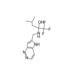 CC(C)CC(O)(NCc1cc2nnccc2[nH]1)C(F)(F)F